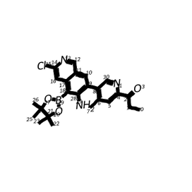 CCC(=O)c1cc(C)c(-c2cc3cnc(Cl)cc3c(B3OC(C)(C)C(C)(C)O3)c2N)cn1